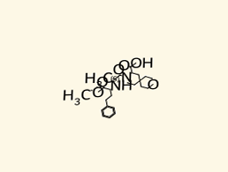 CCOC(=O)C(CCc1ccccc1)N[C@@H](C)C(=O)N1CCC2(CCOCC2)CC1C(=O)O